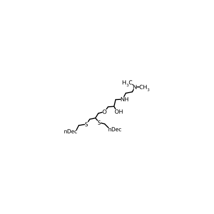 CCCCCCCCCCCSCC(COCC(O)CNCCN(C)C)SCCCCCCCCCCC